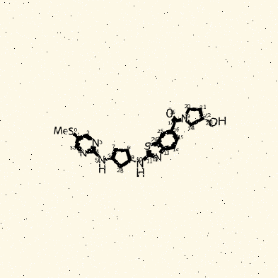 CSc1cnc(N[C@H]2CC[C@H](Nc3nc4ccc(C(=O)N5CC[C@H](O)C5)cc4s3)C2)nc1